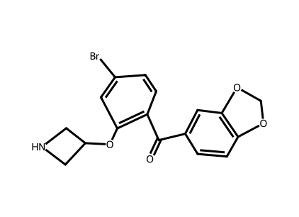 O=C(c1ccc2c(c1)OCO2)c1ccc(Br)cc1OC1CNC1